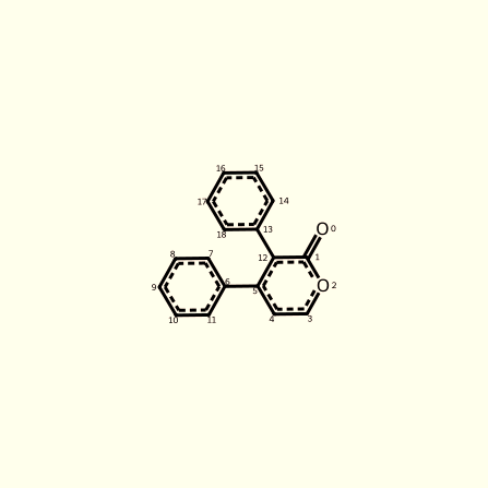 O=c1occc(-c2ccccc2)c1-c1ccccc1